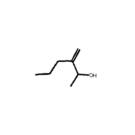 C=C(CCC)C(C)O